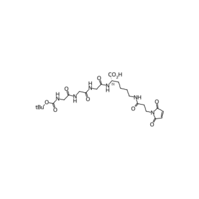 CC(C)(C)OC(=O)NCC(=O)NCC(=O)NCC(=O)N[C@@H](CCCCNC(=O)CCN1C(=O)C=CC1=O)C(=O)O